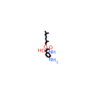 CC(C)=CCC/C(C)=C/COc1c(O)c2ccc(N)cc2[nH]c1=O